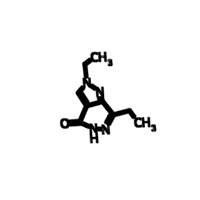 CCc1n[nH]c(=O)c2cn(CC)nc12